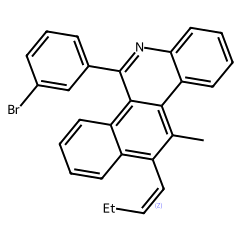 CC/C=C\c1c(C)c2c3ccccc3nc(-c3cccc(Br)c3)c2c2ccccc12